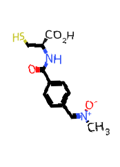 C/[N+]([O-])=C/c1ccc(C(=O)N[C@@H](CS)C(=O)O)cc1